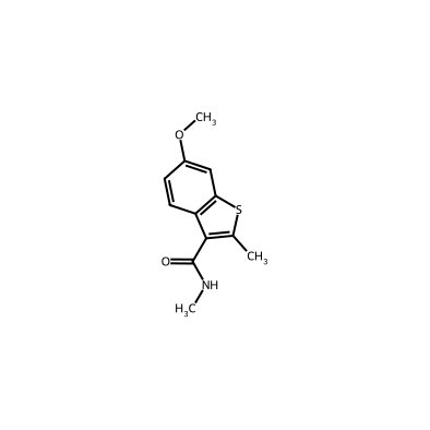 CNC(=O)c1c(C)sc2cc(OC)ccc12